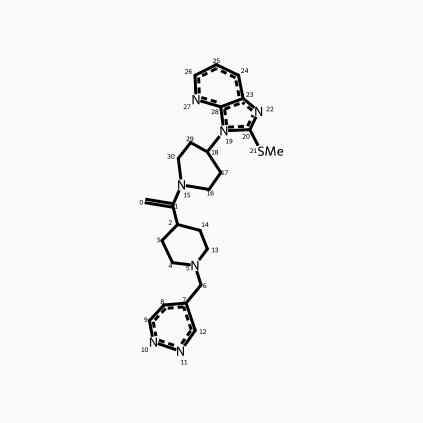 C=C(C1CCN(Cc2ccnnc2)CC1)N1CCC(n2c(SC)nc3cccnc32)CC1